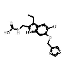 CCc1c(CNC(=O)O)[nH]c2cc(OCc3cscn3)c(Cl)cc12